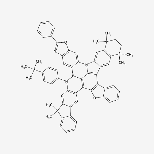 CC(C)(C)c1ccc(N2B3c4cc5nc(-c6ccccc6)oc5cc4-n4c5cc6c(cc5c5c7c(oc8ccccc87)c(c3c54)-c3cc4c(cc32)C(C)(C)c2ccccc2-4)C(C)(C)CCC6(C)C)cc1